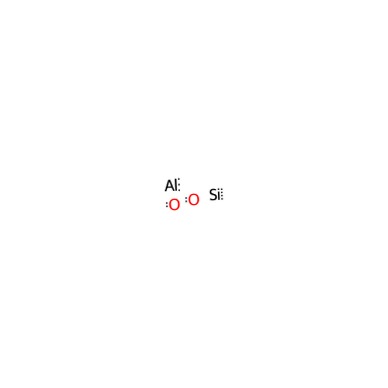 [Al].[O].[O].[Si]